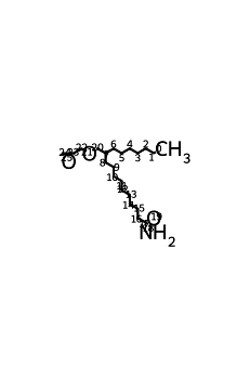 CCCCCCCC(CCCCCCCCCC(N)=O)COCC1CO1